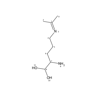 CC(C)=NCCCC(N)C(O)O